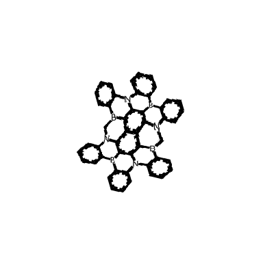 c1ccc2c(c1)B1c3ccccc3N3c4ccccc4B4CN5c6ccccc6B6c7ccccc7N7c8ccccc8B8CN2c2c1c3c4c1c5c6c7c8c21